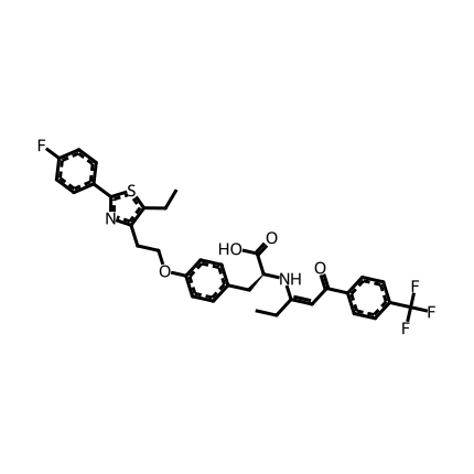 CC/C(=C/C(=O)c1ccc(C(F)(F)F)cc1)N[C@@H](Cc1ccc(OCCc2nc(-c3ccc(F)cc3)sc2CC)cc1)C(=O)O